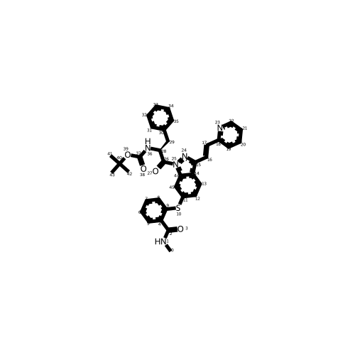 CNC(=O)c1ccccc1Sc1ccc2c(/C=C/c3ccccn3)nn(C(=O)[C@H](Cc3ccccc3)NC(=O)OC(C)(C)C)c2c1